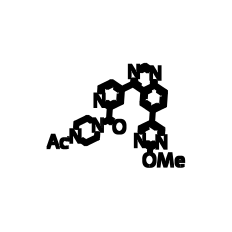 COc1ncc(-c2ccc3ncnc(-c4ccnc(C(=O)N5CCN(C(C)=O)CC5)c4)c3c2)cn1